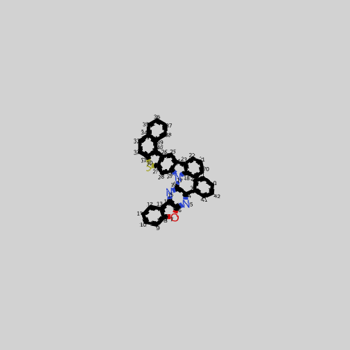 c1ccc(-c2nc3oc4ccccc4c3nc2-n2c3ccccc3c3cc4c(cc32)sc2ccc3ccccc3c24)cc1